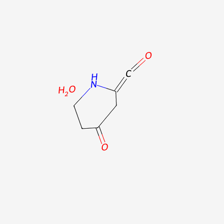 O.O=C=C1CC(=O)CCN1